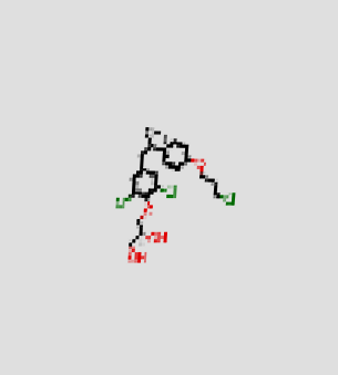 CC(Cc1cc(Cl)c(OC[C@@H](O)CO)c(Cl)c1)c1ccc(OCCCCl)cc1